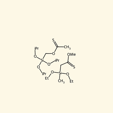 CC(=S)OC[Si](OC(C)C)(OC(C)C)OC(C)C.CCO[Si](C)(CC(=S)OC)OCC